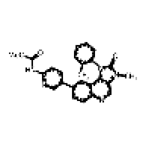 COC(=O)Nc1ccc(-c2ccc3ncc4c(c3c2)n(-c2ccccc2C(F)(F)F)c(=O)n4C)cn1